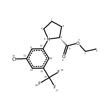 CCOC(=O)[C@H]1CCCN1c1cc(Cl)cc(C(F)(F)F)c1